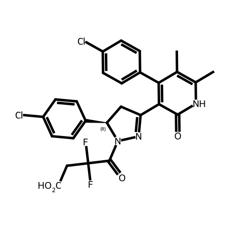 Cc1[nH]c(=O)c(C2=NN(C(=O)C(F)(F)CC(=O)O)[C@@H](c3ccc(Cl)cc3)C2)c(-c2ccc(Cl)cc2)c1C